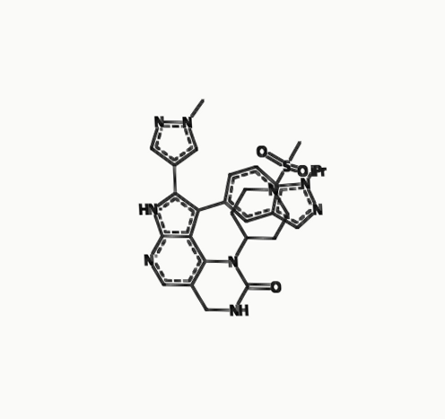 CC(C)n1ncc2cc(-c3c(-c4cnn(C)c4)[nH]c4ncc5c(c34)N(C3CCN(S(C)(=O)=O)CC3)C(=O)NC5)ccc21